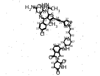 CC(=N)N1C(=N)[C@H](CC(N)=O)N=C(c2ccc(Cl)cc2)c2c1sc(C#Cc1cnn(CCCN3CCC(Nc4cccc5c4CN(C4CCC(=O)NC4=O)C5=O)CC3)c1)c2C